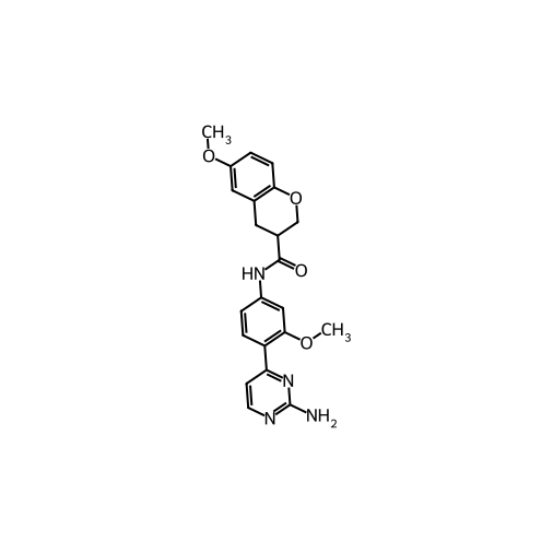 COc1ccc2c(c1)CC(C(=O)Nc1ccc(-c3ccnc(N)n3)c(OC)c1)CO2